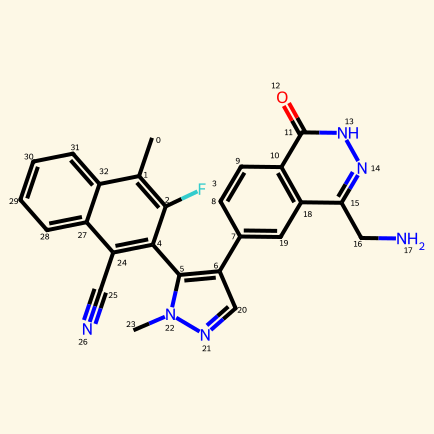 Cc1c(F)c(-c2c(-c3ccc4c(=O)[nH]nc(CN)c4c3)cnn2C)c(C#N)c2ccccc12